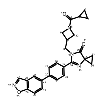 O=C(C1CC1)N1CC(CN2C(=O)C3(CC3)N=C2c2ccc(-c3ccc4oncc4c3)cc2)C1